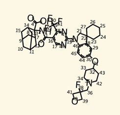 O=C(NC1(C(=O)O)C2CC3CC(C2)CC1C3)c1cnc(N2CC3(CCCCC3)c3cc(OC4CCN(CC5(F)COC5)CC4)ccc32)nc1C(F)(F)F